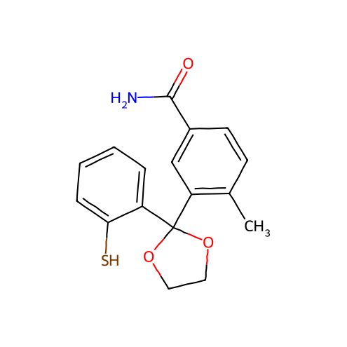 Cc1ccc(C(N)=O)cc1C1(c2ccccc2S)OCCO1